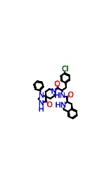 O=C(NC(Cc1ccc(Cl)cc1)C(=O)N1CCC2(CC1)C(=O)NCN2c1ccccc1)C1Cc2ccccc2CN1